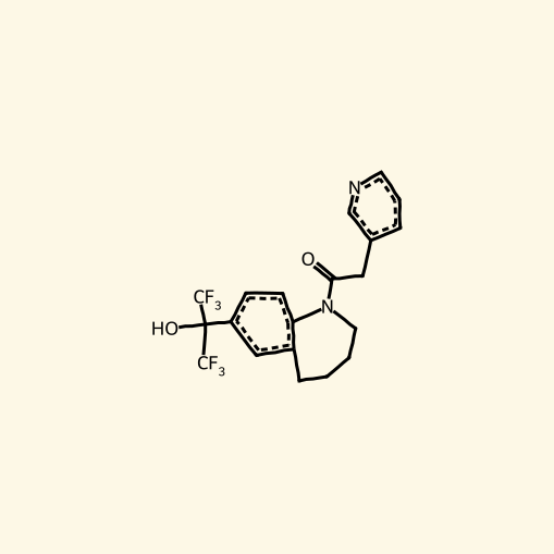 O=C(Cc1cccnc1)N1CCCCc2cc(C(O)(C(F)(F)F)C(F)(F)F)ccc21